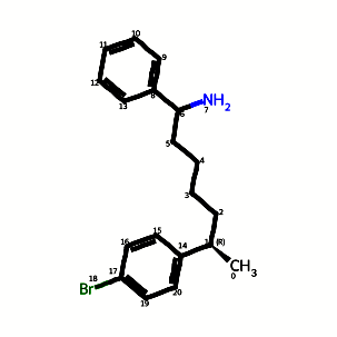 C[C@H](CCCCC(N)c1ccccc1)c1ccc(Br)cc1